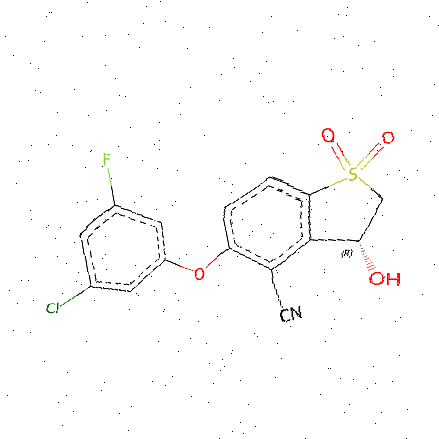 N#Cc1c(Oc2cc(F)cc(Cl)c2)ccc2c1[C@@H](O)CS2(=O)=O